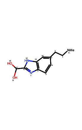 CNCCc1ccc2nc(C(O)O)[nH]c2c1